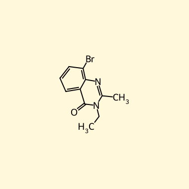 CCn1c(C)nc2c(Br)cccc2c1=O